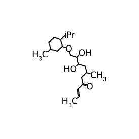 CC=CC(=O)CC(C)CC(O)C(O)COC1CC(C)CCC1C(C)C